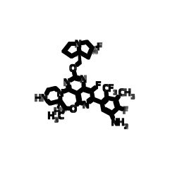 Cc1c(F)c(N)cc(-c2nc3c4c(nc(OC[C@@]56CCCN5C[C@H](F)C6)nc4c2F)N2CCNC[C@@H]2[C@@H](C)O3)c1C(F)(F)F